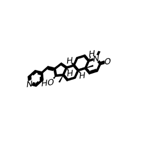 CN1C(=O)C=C[C@]2(C)[C@H]3CC[C@]4(C)[C@@H](O)/C(=C\c5ccncc5)C[C@H]4[C@@H]3CC[C@@H]12